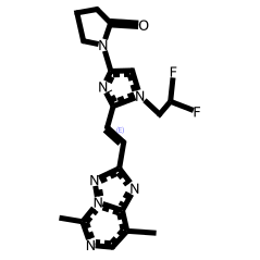 Cc1cnc(C)n2nc(/C=C/c3nc(N4CCCC4=O)cn3CC(F)F)nc12